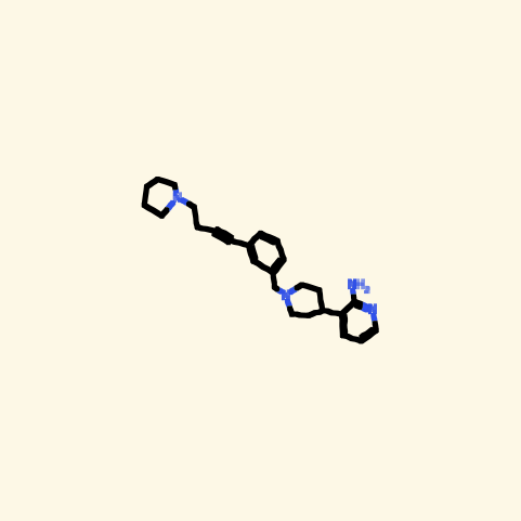 Nc1ncccc1C1CCN(Cc2cccc(C#CCCN3CCCCC3)c2)CC1